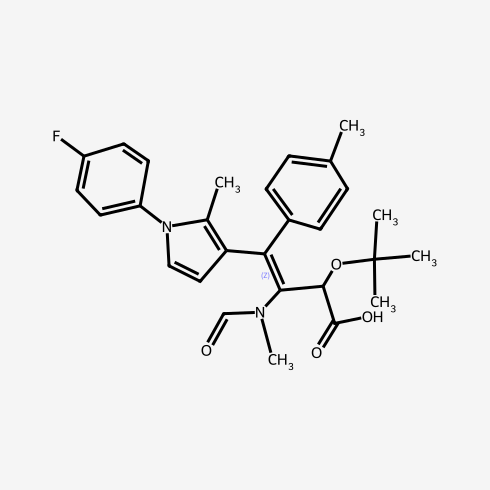 Cc1ccc(/C(=C(\C(OC(C)(C)C)C(=O)O)N(C)C=O)c2ccn(-c3ccc(F)cc3)c2C)cc1